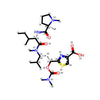 CCC(C)[C@H](NC(=O)[C@@]1(C)CCCN1C)C(=O)N(C)[C@H](C[C@@H](OC(=O)N(C)C)c1nc(C(=O)O)cs1)C(C)C